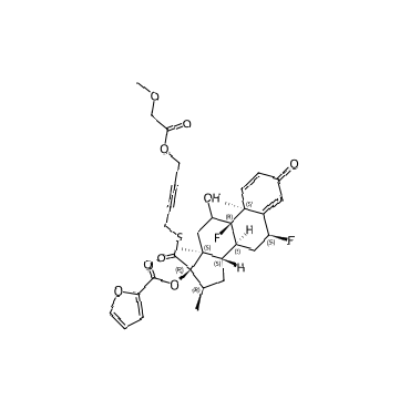 COCC(=O)OCC#CCSC(=O)[C@@]1(OC(=O)c2ccco2)[C@H](C)C[C@H]2[C@@H]3C[C@H](F)C4=CC(=O)C=C[C@]4(C)[C@@]3(F)C(O)C[C@@]21C